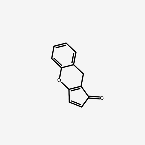 O=C1C=CC2=C1Cc1ccccc1O2